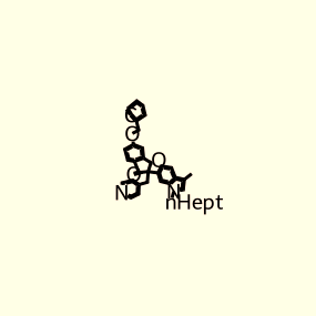 CCCCCCCn1cc(C)c2ccc(C3(Cc4ccncc4)C(=O)c4ccc(OCc5ccccc5)cc4C3=O)cc21